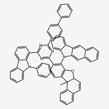 CC12c3ccccc3C=CC1Oc1c2ccc(-c2nc(-c3ccc(-c4ccccc4)cc3)nc(-c3cccc4c5ccccc5n(-c5ccccc5)c34)n2)c1-n1c2ccccc2c2cc3ccccc3cc21